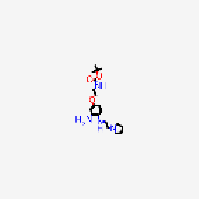 CC(C)(C)OC(=O)NCCOc1ccc(NCCN2CCCC2)c(N)c1